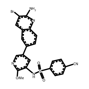 COc1ncc(-c2ccc3nc(N)c(Br)cc3c2)cc1NS(=O)(=O)c1ccc(C#N)cc1